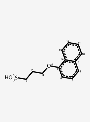 O=S(=O)(O)CCCOc1cccc2ccccc12